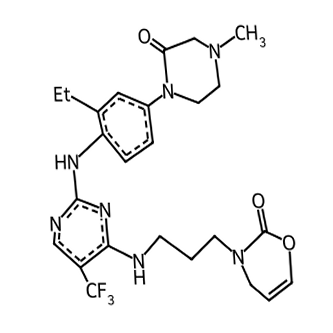 CCc1cc(N2CCN(C)CC2=O)ccc1Nc1ncc(C(F)(F)F)c(NCCCN2CC=COC2=O)n1